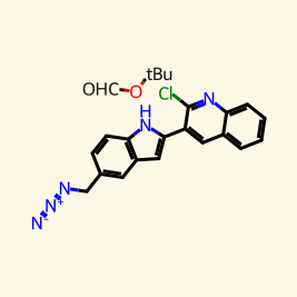 CC(C)(C)OC=O.[N-]=[N+]=NCc1ccc2[nH]c(-c3cc4ccccc4nc3Cl)cc2c1